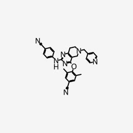 Cc1cc(C#N)cc(C)c1Oc1nc(Nc2ccc(C#N)cc2)nc2c1CN(Cc1ccncc1)CC2